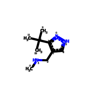 CNCc1c[nH]nc1C(C)(C)C